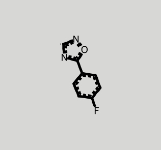 Fc1ccc(-c2n[c]no2)cc1